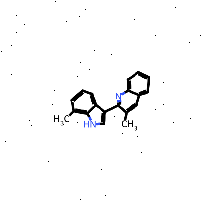 Cc1cc2ccccc2nc1-c1c[nH]c2c(C)cccc12